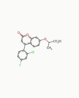 CCOC(=O)C(C)Oc1ccc2c(-c3ccc(F)cc3Cl)cc(=O)oc2c1